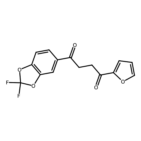 O=C(CCC(=O)c1ccco1)c1ccc2c(c1)OC(F)(F)O2